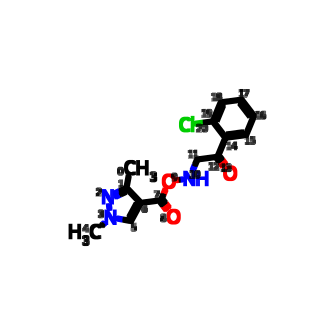 Cc1nn(C)cc1C(=O)ONCC(=O)c1ccccc1Cl